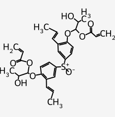 C=CC(=O)OC(Oc1ccc([S+]([O-])c2ccc(OC(OC(=O)C=C)C(C)O)c(C=CC)c2)cc1C=CC)C(C)O